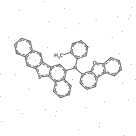 Cc1ccccc1N(c1cc2c3cc4ccccc4cc3sc2c2ccccc12)c1cccc2c1oc1ccccc12